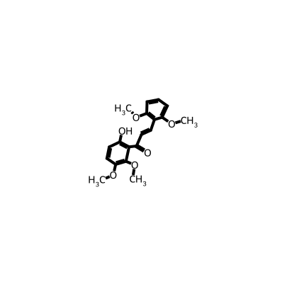 COc1cccc(OC)c1C=CC(=O)c1c(O)ccc(OC)c1OC